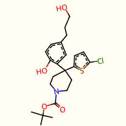 CC(C)(C)OC(=O)N1CCC(c2ccc(Cl)s2)(c2cc(CCCO)ccc2O)CC1